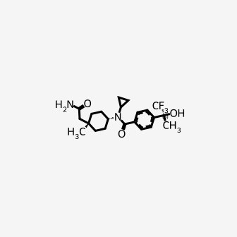 C[C@](O)(c1ccc(C(=O)N(C2CC2)[C@H]2CC[C@@](C)(CC(N)=O)CC2)cc1)C(F)(F)F